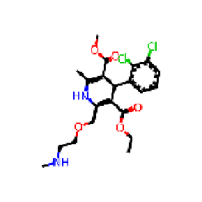 CCOC(=O)C1=C(COCCNC)NC(C)=C(C(=O)OC)C1c1cccc(Cl)c1Cl